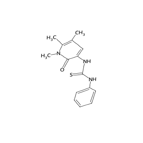 Cc1cc(NC(=S)Nc2ccccc2)c(=O)n(C)c1C